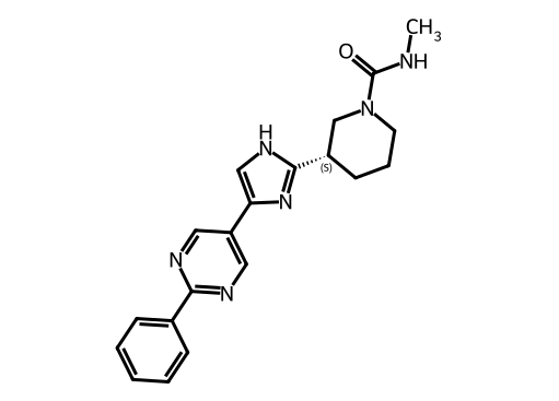 CNC(=O)N1CCC[C@H](c2nc(-c3cnc(-c4ccccc4)nc3)c[nH]2)C1